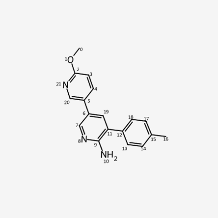 COc1ccc(-c2cnc(N)c(-c3ccc(C)cc3)c2)cn1